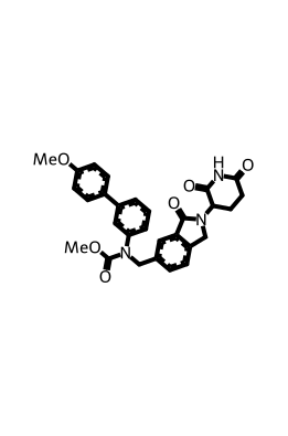 COC(=O)N(Cc1ccc2c(c1)C(=O)N(C1CCC(=O)NC1=O)C2)c1cccc(-c2ccc(OC)cc2)c1